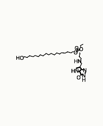 CCOP(=O)(CCCNCc1c[nH]c2c(=O)[nH]cnc12)OCCCCCCCCCCCCCCCCCCCO